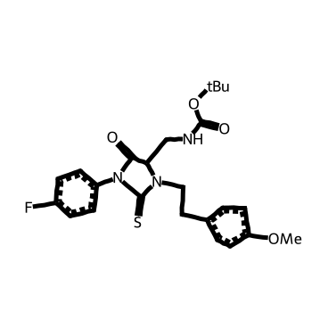 COc1ccc(CCN2C(=S)N(c3ccc(F)cc3)C(=O)C2CNC(=O)OC(C)(C)C)cc1